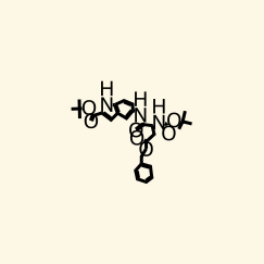 CC(C)(C)OC(=O)NC(CC(=O)OCc1ccccc1)C(=O)Nc1ccc2[nH]c(C(=O)OC(C)(C)C)cc2c1